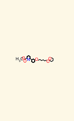 COC(=O)c1cccc(-c2cccc(OCCCCCCOC3CCCCO3)c2)n1